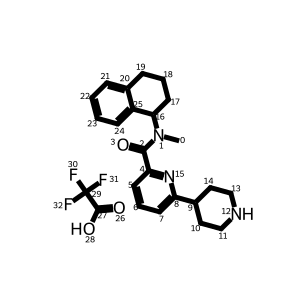 CN(C(=O)c1cccc(C2CCNCC2)n1)C1CCCc2ccccc21.O=C(O)C(F)(F)F